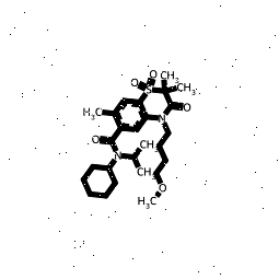 COCCCCN1C(=O)C(C)(C)S(=O)(=O)c2cc(C)c(C(=O)N(C(C)C)C3CCCCC3)cc21